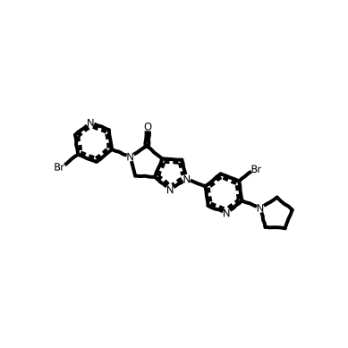 O=C1c2cn(-c3cnc(N4CCCC4)c(Br)c3)nc2CN1c1cncc(Br)c1